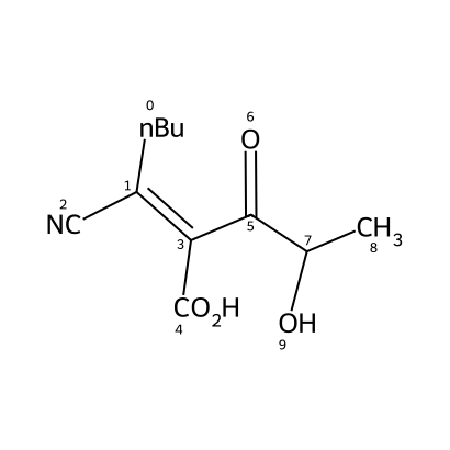 CCCCC(C#N)=C(C(=O)O)C(=O)C(C)O